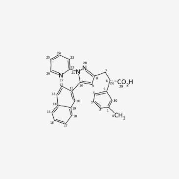 Cc1cccc([C@H](Cc2cc(-c3ccc4ccccc4c3)n(-c3ccccn3)n2)C(=O)O)c1